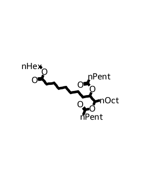 CCCCCCCCC(OC(=O)CCCCC)C(CCCCCCCC(=O)OCCCCCC)OC(=O)CCCCC